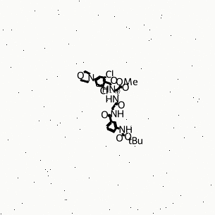 COC(=O)[C@H](CNC(=O)CNC(=O)c1cccc(NC(=O)OC(C)(C)C)c1)NC(=O)c1c(Cl)cc(N2CCOCC2)cc1Cl